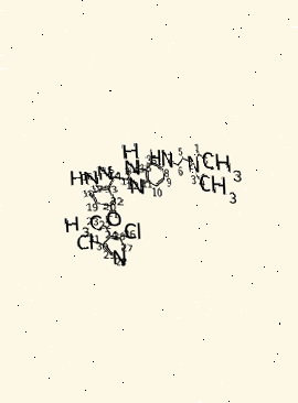 CCN(CC)CCNc1ccc2nc(-c3n[nH]c4ccc(OC(C)c5c(Cl)cncc5Cl)cc34)[nH]c2c1